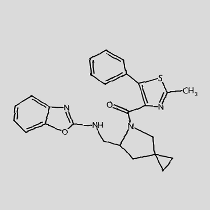 Cc1nc(C(=O)N2CC3(CC3)CC2CNc2nc3ccccc3o2)c(-c2ccccc2)s1